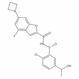 CC(O)c1ccc(Cl)c([S+]([O-])NC(=O)c2cc3c(F)cc(N4CCC4)cc3o2)c1